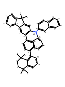 CC1(C)CCC(C)(C)c2c(-c3ccc(-c4cc5c(cc4N(c4ccccc4)c4ccc6ccccc6c4)C(C)(C)c4ccccc4-5)cc3)cccc21